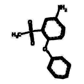 CS(=O)(=O)c1cc(N)ccc1Oc1ccccc1